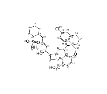 NS(=O)(=O)[C@@H]1CCCC[C@H]1C/C=C/[C@H](O)[C@@H]1CC[C@H]1CN1C[C@@]2(CCCc3cc(Cl)ccc32)COc2ccc(C(=O)O)cc21